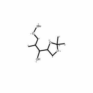 CC(COC(C)(C)C)C(O)C1COC(C)(C)O1